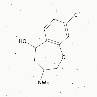 CNC1COc2cc(Cl)ccc2C(O)C1